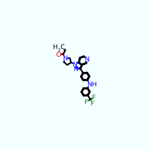 C=CC(=O)N1CCC(n2nc(-c3ccc(Nc4cccc(C(F)(F)F)c4)cc3)c3cnccc32)C1